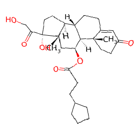 C[C@]12CCC(=O)C=C1CC[C@@H]1[C@@H]2[C@@H](OC(=O)CCC2CCCC2)C[C@@]2(C)[C@H]1CC[C@]2(O)C(=O)CO